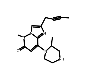 CC#CCc1cn2c(n1)c(N1CCNCC1C)cc(=O)n2C